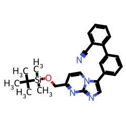 CC(C)(C)[Si](C)(C)OCc1ccn2c(-c3cccc(-c4ccccc4C#N)c3)cnc2n1